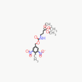 CO[Si](CCCNC(=O)OCc1cc([N+](=O)[O-])c(C)c([N+](=O)[O-])c1)(OC)OC